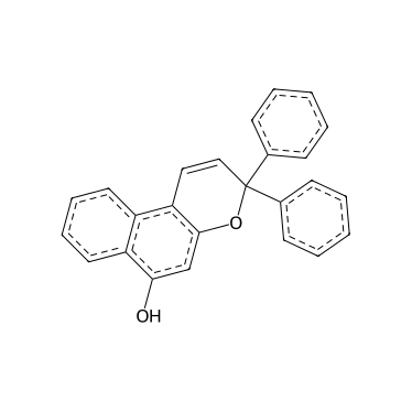 Oc1cc2c(c3ccccc13)C=CC(c1ccccc1)(c1ccccc1)O2